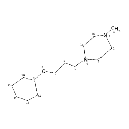 CN1CCN(CCCOC2CCCCC2)CC1